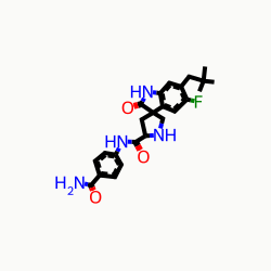 CC(C)(C)Cc1cc2c(cc1F)C1(CNC(C(=O)Nc3ccc(C(N)=O)cc3)C1)C(=O)N2